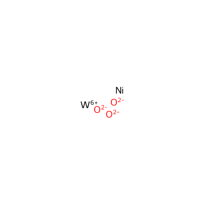 [Ni].[O-2].[O-2].[O-2].[W+6]